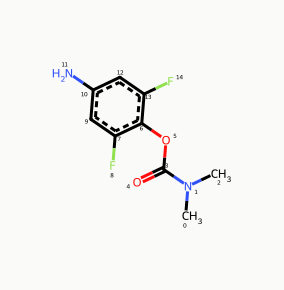 CN(C)C(=O)Oc1c(F)cc(N)cc1F